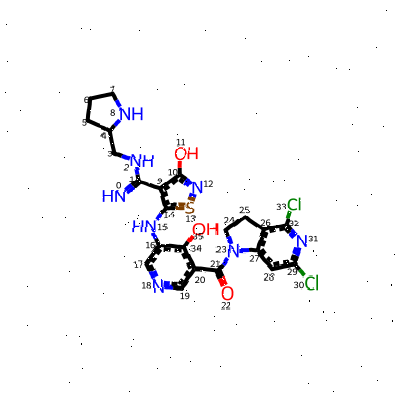 N=C(NCC1CCCN1)c1c(O)nsc1Nc1cncc(C(=O)N2CCc3c2cc(Cl)nc3Cl)c1O